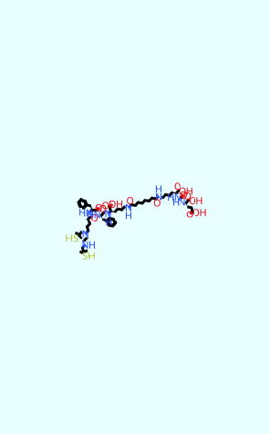 CC(C)(S)CNCCN(CCCCC(=O)N[C@@H](Cc1ccccc1)C(=O)N[C@@H](Cc1ccccc1)C(=O)N[C@H](CCCCNC(=O)CCCCCCC(=O)NCCCC[C@H](NC(=O)N[C@@H](CCC(=O)O)C(=O)O)C(=O)O)C(=O)O)CC(C)(C)S